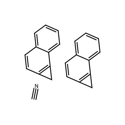 C#N.c1ccc2c3c(ccc2c1)C3.c1ccc2c3c(ccc2c1)C3